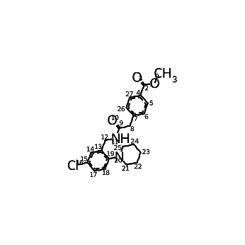 COC(=O)c1ccc(CC(=O)NCc2cc(Cl)ccc2N2CCCCC2)cc1